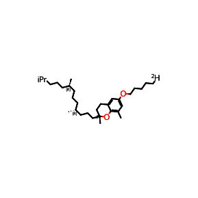 [2H]CCCCCOc1cc(C)c2c(c1)CC[C@@](C)(CCC[C@H](C)CCC[C@H](C)CCCC(C)C)O2